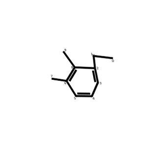 C[C]c1cccc(C)c1C